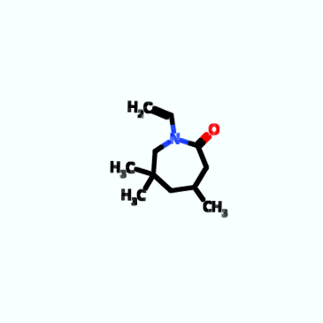 C=CN1CC(C)(C)CC(C)CC1=O